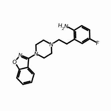 Nc1ccc(F)cc1CCN1CCN(c2noc3ccccc23)CC1